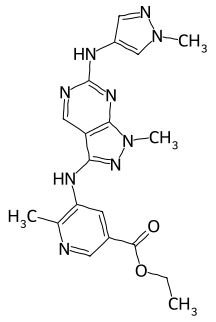 CCOC(=O)c1cnc(C)c(Nc2nn(C)c3nc(Nc4cnn(C)c4)ncc23)c1